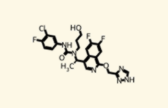 C[C@H](c1cnc(OCc2nc[nH]n2)c2cc(F)c(F)cc12)N(CCCO)C(=O)Nc1ccc(F)c(Cl)c1